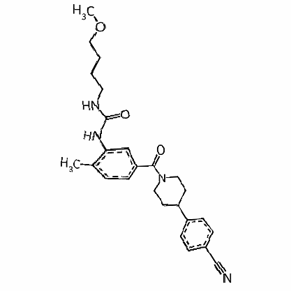 COCCCCNC(=O)Nc1cc(C(=O)N2CCC(c3ccc(C#N)cc3)CC2)ccc1C